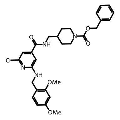 COc1ccc(CNc2cc(C(=O)NCC3CCN(C(=O)OCc4ccccc4)CC3)cc(Cl)n2)c(OC)c1